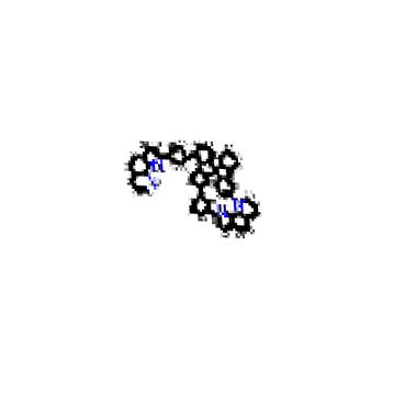 c1cc(-c2cccc(C3(c4cccc(-c5ccc(-c6ccc7ccc8cccnc8c7n6)cc5)c4)c4ccccc4-c4ccccc43)c2)cc(-c2ccc3ccc4cccnc4c3n2)c1